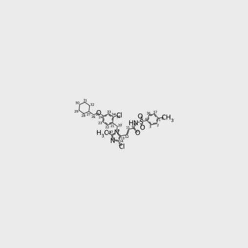 Cc1ccc(S(=O)(=O)NC(=O)C=Cc2c(Cl)nc(C)n2Cc2ccc(OCC3CCCCC3)cc2Cl)cc1